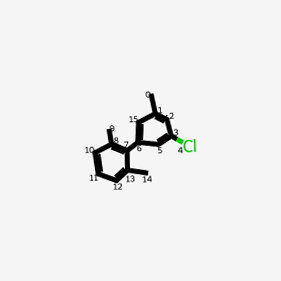 Cc1[c]c(Cl)cc(-c2c(C)cccc2C)c1